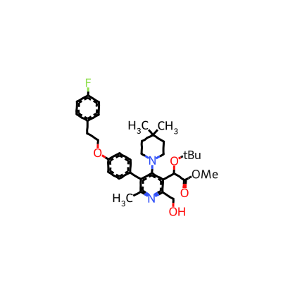 COC(=O)C(OC(C)(C)C)c1c(CO)nc(C)c(-c2ccc(OCCc3ccc(F)cc3)cc2)c1N1CCC(C)(C)CC1